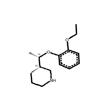 CCOc1ccccc1O[C@@H](C)[C@H]1CCCNC1